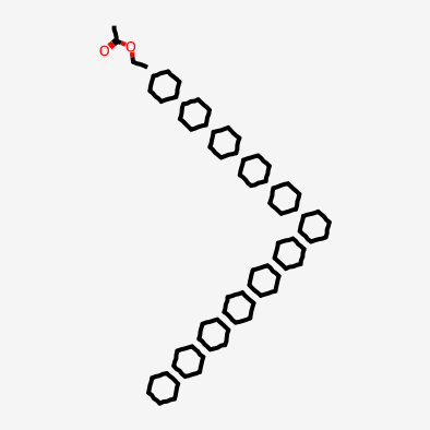 C1CCCCC1.C1CCCCC1.C1CCCCC1.C1CCCCC1.C1CCCCC1.C1CCCCC1.C1CCCCC1.C1CCCCC1.C1CCCCC1.C1CCCCC1.C1CCCCC1.C1CCCCC1.CCOC(C)=O